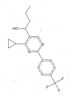 CCCC(O)c1cnc(-c2ccc(C(F)(F)F)cc2)nc1C1CC1